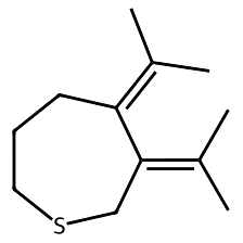 CC(C)=C1CCCSCC1=C(C)C